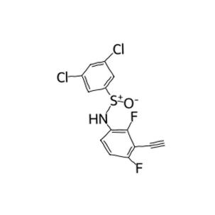 C#Cc1c(F)ccc(N[S+]([O-])c2cc(Cl)cc(Cl)c2)c1F